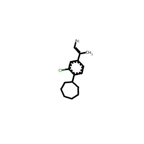 CC(=O)C=C(C)c1ccc(C2CCCCCC2)c(Cl)c1